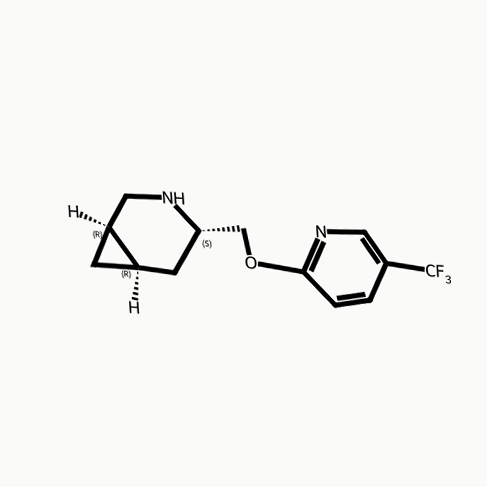 FC(F)(F)c1ccc(OC[C@@H]2C[C@H]3C[C@H]3CN2)nc1